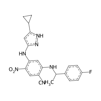 CC(Nc1cc(Nc2cc(C3CC3)[nH]n2)c([N+](=O)[O-])cc1C#N)c1ccc(F)cc1